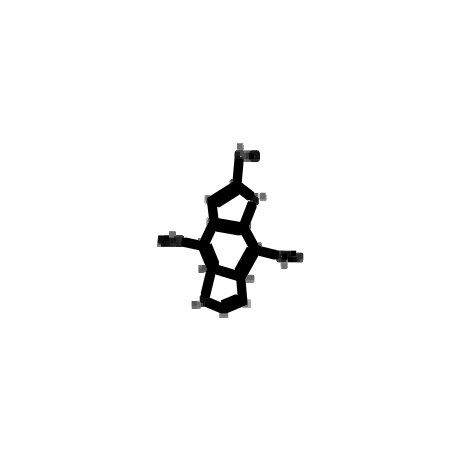 COc1c2cc(C=O)sc2c(OC)c2ccsc12